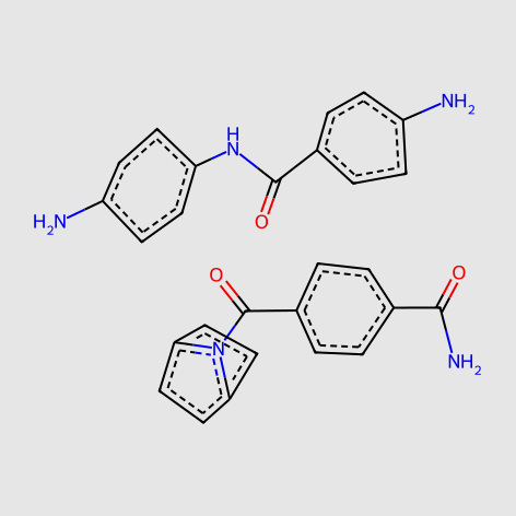 NC(=O)c1ccc(C(=O)n2c3ccc2cc3)cc1.Nc1ccc(NC(=O)c2ccc(N)cc2)cc1